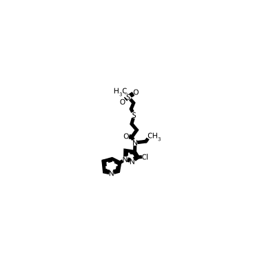 CCN(C(=O)CCSCCS(C)(=O)=O)c1cn(-c2cccnc2)nc1Cl